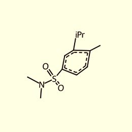 Cc1ccc(S(=O)(=O)N(C)C)cc1C(C)C